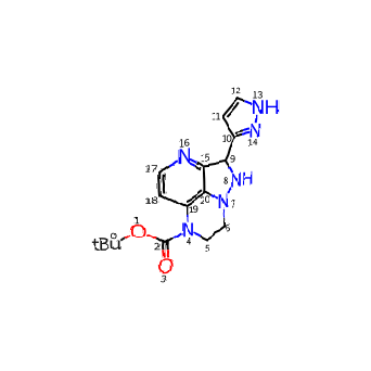 CC(C)(C)OC(=O)N1CCN2NC(c3cc[nH]n3)c3nccc1c32